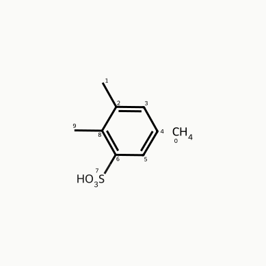 C.Cc1cccc(S(=O)(=O)O)c1C